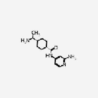 CC(N)[C@H]1CC[C@H](C(=O)Nc2ccnc(N)c2)CC1